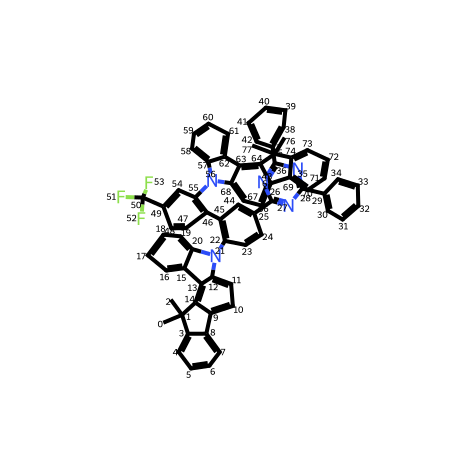 CC1(C)c2ccccc2-c2ccc3c(c21)c1ccccc1n3-c1ccc(-c2nc(-c3ccccc3)nc(-c3ccccc3)n2)cc1-c1ccc(C(F)(F)F)cc1-n1c2ccccc2c2c3c(ccc21)-c1ccccc1C3(C)C